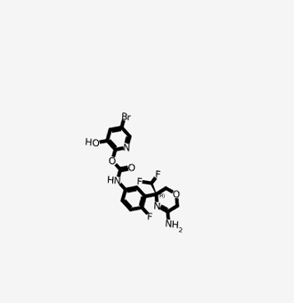 NC1=N[C@@](c2cc(NC(=O)Oc3ncc(Br)cc3O)ccc2F)(C(F)F)COC1